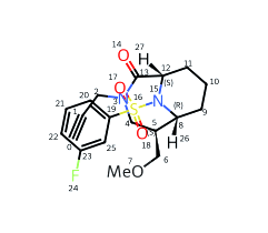 C#CCN1C[C@H](COC)[C@H]2CCC[C@@H](C1=O)N2S(=O)(=O)c1cccc(F)c1